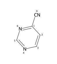 N#Cc1ccncn1